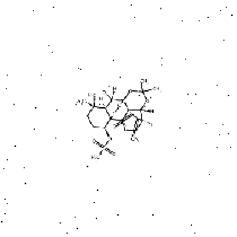 C=C1C(=O)[C@@]23[C@@H]4OC(C)(C)OC25OC[C@]2([C@@H](OS(C)(=O)=O)CCC(C)(C)[C@H]2[C@@H]5O)[C@@H]3CC[C@@H]14